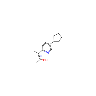 C/C(O)=C(\C)c1ccc(C2CCCC2)cn1